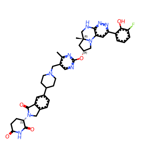 Cc1nc(O[C@H]2CN3c4cc(-c5cccc(F)c5O)nnc4NC[C@@]3(C)C2)ncc1CN1CCC(c2ccc3c(c2)C(=O)N([C@H]2CCC(=O)NC2=O)C3)CC1